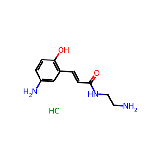 Cl.NCCNC(=O)/C=C/c1cc(N)ccc1O